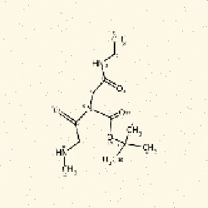 CCNC(=O)CN(C(=O)CNC)C(=O)OC(C)(C)C